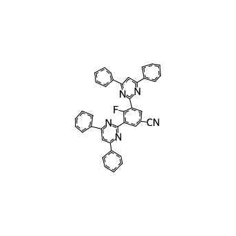 N#Cc1cc(-c2nc(-c3ccccc3)cc(-c3ccccc3)n2)c(F)c(-c2nc(-c3ccccc3)cc(-c3ccccc3)n2)c1